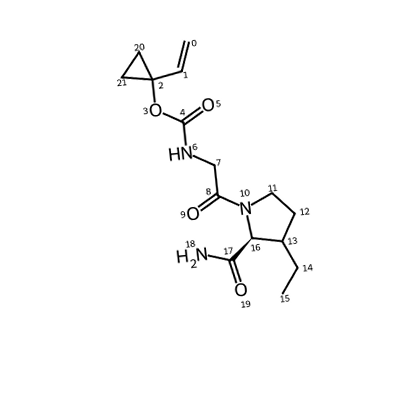 C=CC1(OC(=O)NCC(=O)N2CCC(CC)[C@H]2C(N)=O)CC1